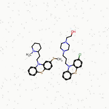 CSc1ccc2c(c1)N(CCC1CCCCN1C)c1ccccc1S2.OCCN1CCN(CCCN2c3ccccc3Sc3ccc(Cl)cc32)CC1